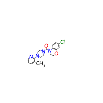 Cc1cccnc1N1CCN(C(=O)N2CCOc3cc(Cl)ccc32)CC1